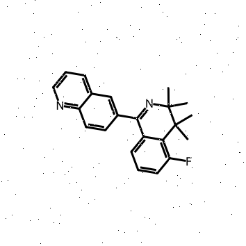 CC1(C)N=C(c2ccc3ncccc3c2)c2cccc(F)c2C1(C)C